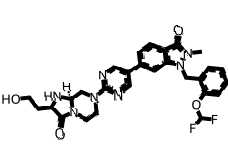 Cn1c(=O)c2ccc(-c3cnc(N4CCN5C(=O)C(CCO)N[C@H]5C4)nc3)cc2n1Cc1ccccc1OC(F)F